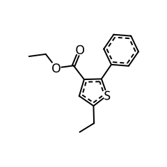 CCOC(=O)c1cc(CC)sc1-c1ccccc1